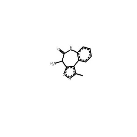 Cc1noc2c1-c1ccccc1NC(=O)C2N